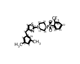 Cc1cc(C)cc(Cc2csc(N3CCN(S(=O)(=O)c4ccccc4C(F)(F)F)CC3)n2)c1